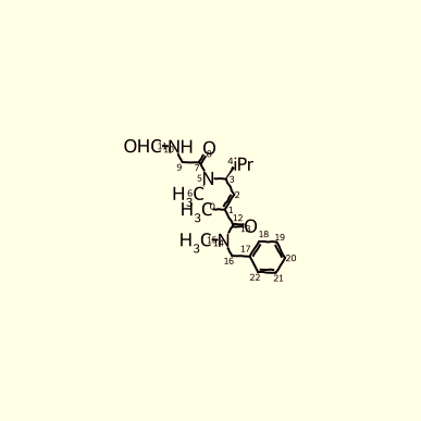 C/C(=C\[C@H](C(C)C)N(C)C(=O)CNC=O)C(=O)N(C)Cc1ccccc1